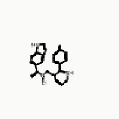 C=C(c1ccc2[nH]ccc2c1)N(CC)CC1C=CCNC1c1ccc(C)cc1